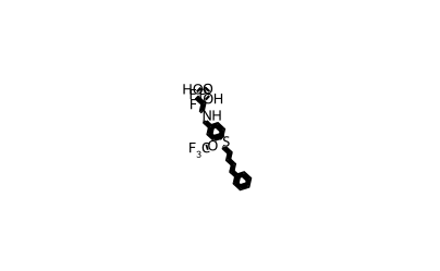 O=P(O)(O)C(F)(F)CCNCc1ccc(SCCCCCc2ccccc2)c(OC(F)(F)F)c1